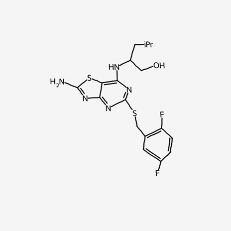 CC(C)CC(CO)Nc1nc(SCc2cc(F)ccc2F)nc2nc(N)sc12